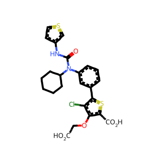 O=C(O)COc1c(C(=O)O)sc(-c2cccc(N(C(=O)Nc3ccsc3)C3CCCCC3)c2)c1Cl